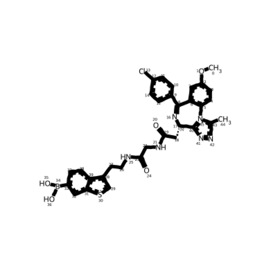 COc1ccc2c(c1)C(c1ccc(Cl)cc1)=N[C@@H](CC(=O)NCC(=O)NCCc1csc3cc(B(O)O)ccc13)c1nnc(C)n1-2